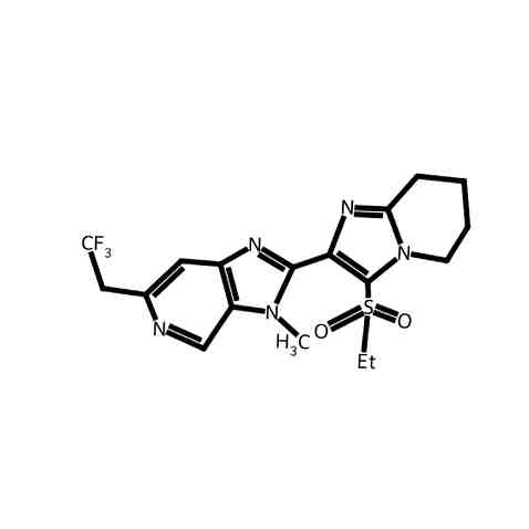 CCS(=O)(=O)c1c(-c2nc3cc(CC(F)(F)F)ncc3n2C)nc2n1CCCC2